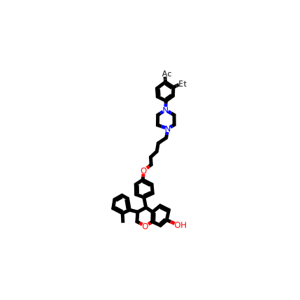 CCc1cc(N2CCN(CCCCCOc3ccc(C4c5ccc(O)cc5OCC4c4ccccc4C)cc3)CC2)ccc1C(C)=O